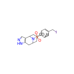 O=C(O)C1CC2Cc3[nH]ncc3C(C1)N2S(=O)(=O)c1ccc(CI)cc1